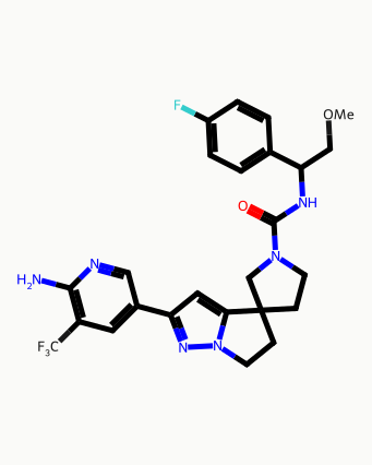 COCC(NC(=O)N1CCC2(CCn3nc(-c4cnc(N)c(C(F)(F)F)c4)cc32)C1)c1ccc(F)cc1